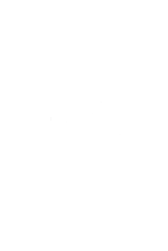 Cc1c(Cl)cc(Cl)c(Cl)c1Cl